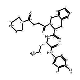 Cc1cc(NC(=O)[C@H](CCN)NC(=O)[C@@H]2Cc3ccccc3CN2C(=O)CCC(=O)N2CCNCC2)ccc1Cl